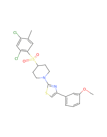 COc1cccc(-c2csc(N3CCC(S(=O)(=O)c4cc(C)c(Cl)cc4Cl)CC3)n2)c1